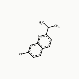 CC(C)c1ccc2ccc(Cl)cc2n1